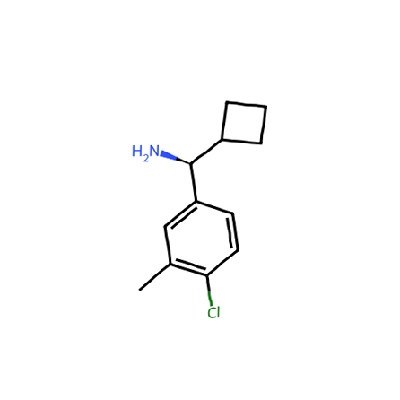 Cc1cc([C@@H](N)C2CCC2)ccc1Cl